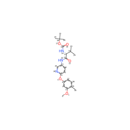 COc1cc(Oc2ccc(NC(=O)[C@H](NC(=O)OC(C)(C)C)C(C)C)cn2)ccc1C